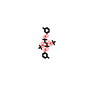 Cc1cccc(OOC(C)(C)C(OOC(C)(C)C)C(OOC(C)(C)C)C(C)(C)OOc2cccc(C)c2)c1